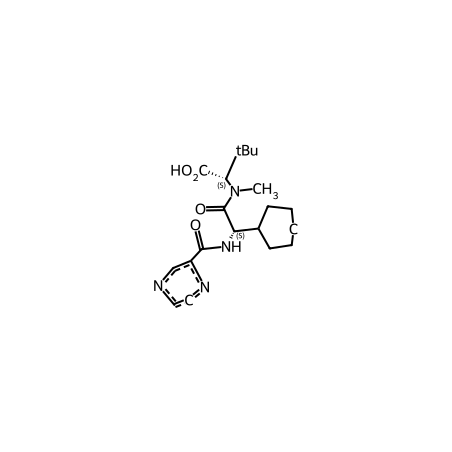 CN(C(=O)[C@@H](NC(=O)c1cnccn1)C1CCCCC1)[C@H](C(=O)O)C(C)(C)C